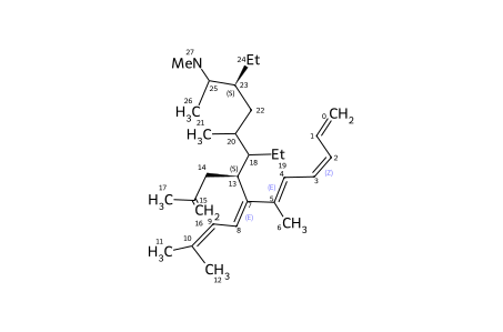 C=C\C=C/C=C(C)/C(=C/C=C(C)C)[C@@H](CC(=C)C)C(CC)C(C)C[C@H](CC)C(C)NC